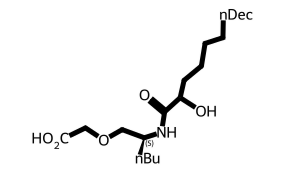 CCCCCCCCCCCCCCC(O)C(=O)N[C@@H](CCCC)COCC(=O)O